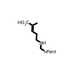 CCCCCCNCCC=C(C)C(=O)O